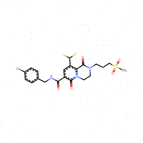 CS(=O)(=O)CCCN1CCn2c(c(C(F)F)cc(C(=O)NCc3ccc(Cl)cc3)c2=O)C1=O